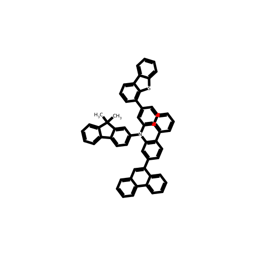 CC1(C)c2ccccc2-c2ccc(N(c3cccc(-c4cccc5c4sc4ccccc45)c3)c3cc(-c4cc5ccccc5c5ccccc45)ccc3-c3ccccc3)cc21